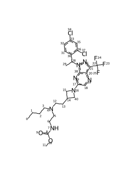 CCCCN(CCNC(=O)OC)CCC1CN(c2cnc3c(C(F)(F)F)nn(C(C)c4ccc(Cl)cc4Cl)c3n2)C1